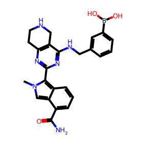 Cn1cc2c(C(N)=O)cccc2c1-c1nc2c(c(NCc3cccc(B(O)O)c3)n1)CNCC2